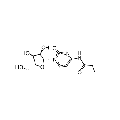 CCCC(=O)Nc1ccn([C@@H]2O[C@H](CO)[C@@H](O)[C@H]2O)c(=O)n1